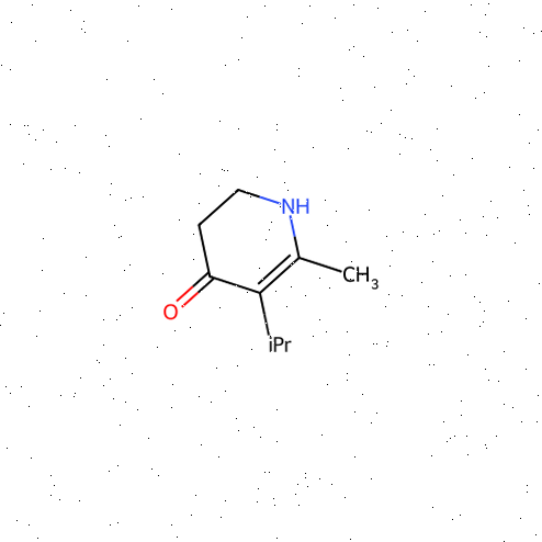 CC1=C(C(C)C)C(=O)CCN1